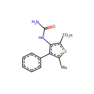 CC(C)(C)c1sc(C(=O)O)c(NC(N)=O)c1-c1ccccc1